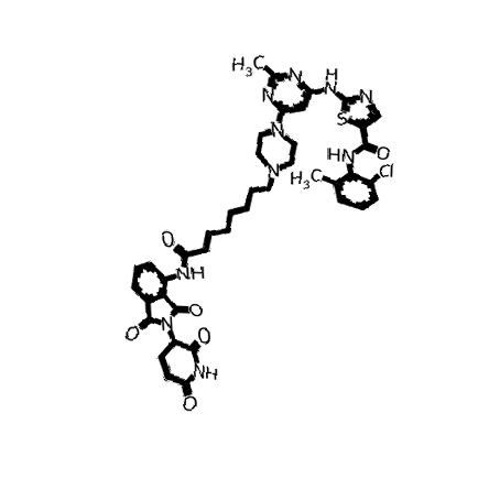 Cc1nc(Nc2ncc(C(=O)Nc3c(C)cccc3Cl)s2)cc(N2CCN(CCCCCCCC(=O)Nc3cccc4c3C(=O)N(C3CCC(=O)NC3=O)C4=O)CC2)n1